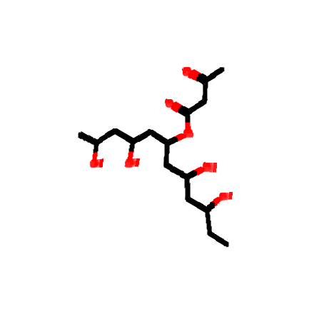 CCC(O)CC(O)CC(CC(O)CC(C)O)OC(=O)CC(C)=O